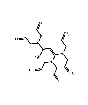 C=CCN(CC=C)C(=CC([SiH3])N(CC=C)CC=C)N(CC=C)CC=C